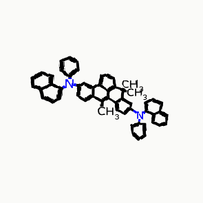 Cc1c2c3c(cccc3c3cc(N(c4ccccc4)c4cccc5ccccc45)ccc13)C(C)(C)c1cc(N(c3ccccc3)c3cccc4ccccc34)ccc1-2